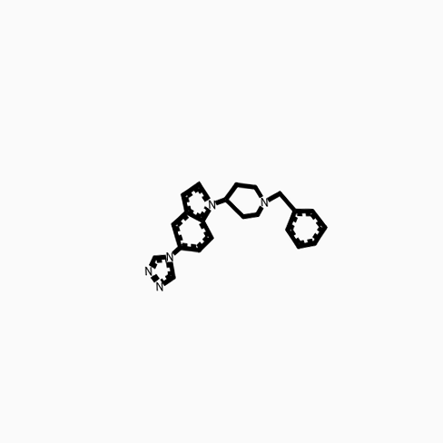 c1ccc(CN2CCC(n3ccc4cc(-n5cnnc5)ccc43)CC2)cc1